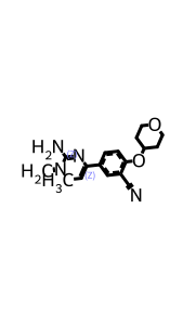 C=N/C(N)=N\C(=C/C)c1ccc(OC2CCOCC2)c(C#N)c1